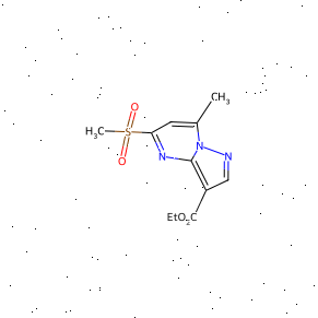 CCOC(=O)c1cnn2c(C)cc(S(C)(=O)=O)nc12